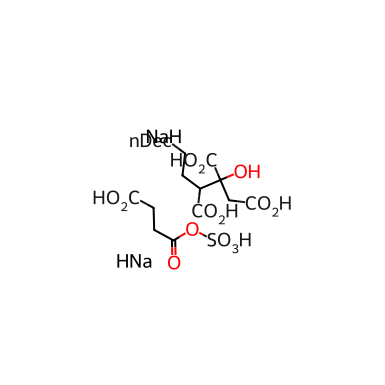 CCCCCCCCCCCCC(C(=O)O)C(O)(CC(=O)O)C(=O)O.O=C(O)CCC(=O)OS(=O)(=O)O.[NaH].[NaH]